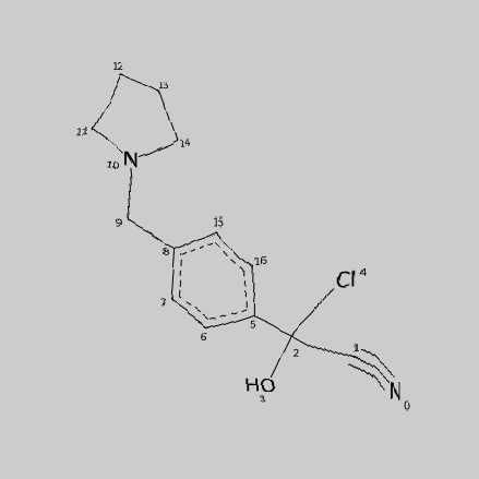 N#CC(O)(Cl)c1ccc(CN2CCCC2)cc1